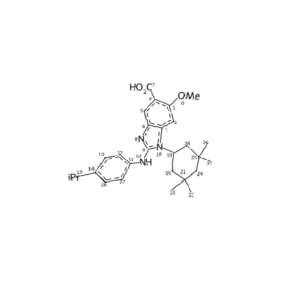 COc1cc2c(cc1C(=O)O)nc(Nc1ccc(C(C)C)cc1)n2C1CC(C)(C)CC(C)(C)C1